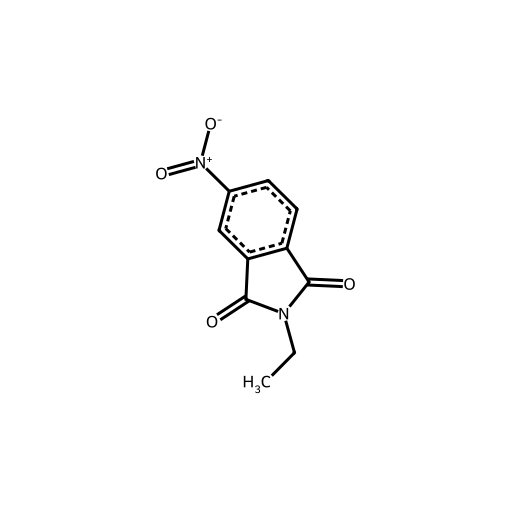 CCN1C(=O)c2ccc([N+](=O)[O-])cc2C1=O